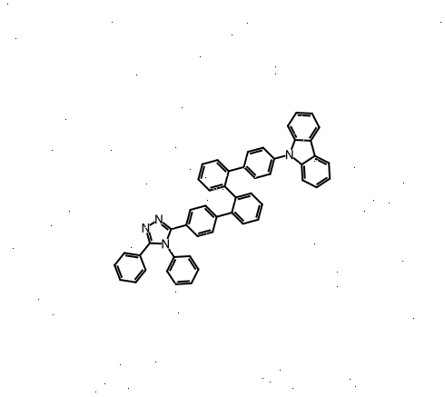 c1ccc(-c2nnc(-c3ccc(-c4ccccc4-c4ccccc4-c4ccc(-n5c6ccccc6c6ccccc65)cc4)cc3)n2-c2ccccc2)cc1